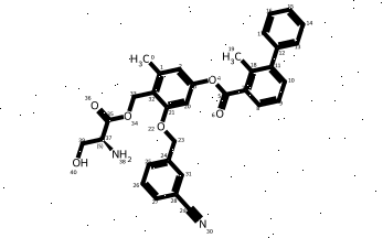 Cc1cc(OC(=O)c2cccc(-c3ccccc3)c2C)cc(OCc2cccc(C#N)c2)c1COC(=O)[C@@H](N)CO